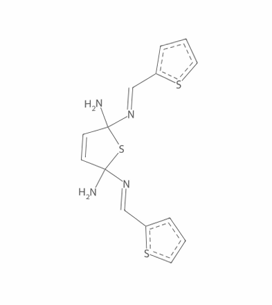 NC1(/N=C/c2cccs2)C=CC(N)(/N=C/c2cccs2)S1